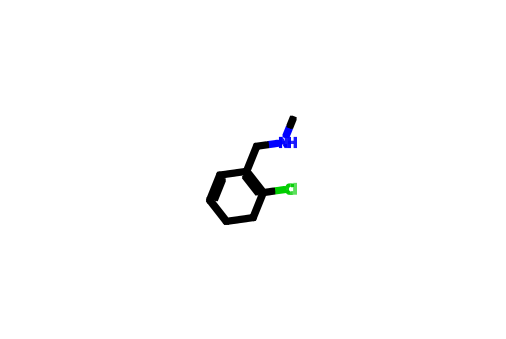 CNCC1=C(Cl)CCC=C1